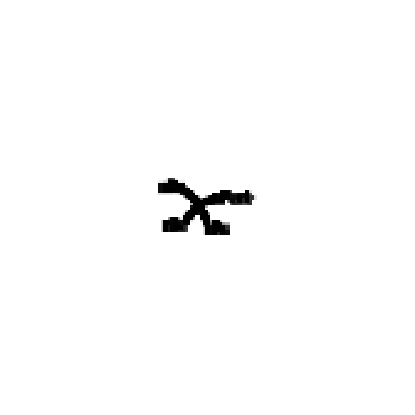 CCCC[CH]C(CCCC)(CCCC)CCCC